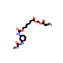 C=CC(=O)OCOC(=O)CCCCCOC(=O)NC1CCCC(NC(=O)OC)C1